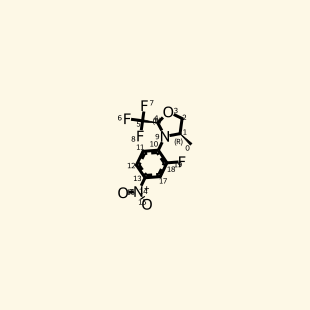 C[C@@H]1CO[C@H](C(F)(F)F)N1c1ccc([N+](=O)[O-])cc1F